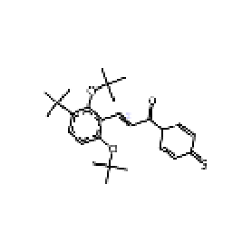 CC(C)(C)Oc1ccc(C(C)(C)C)c(OC(C)(C)C)c1/C=C/C(=O)C1C=CC(=S)C=C1